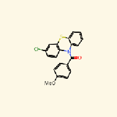 COc1ccc(C(=O)N2c3ccccc3Sc3cc(Cl)ccc32)cc1